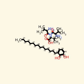 CC(C)[C@H](N)C(=O)N(C(=O)[C@@H](N)C(C)C)[C@H](C(=O)O)C(C)C.CCCCCCCCCCCCCCCc1cccc(O)c1O